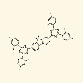 Cc1ccc(-c2nc(-c3ccc4c(c3)C(C)(C)c3cc(-c5nc(-c6ccc(C)cc6C)nc(-c6ccc(C)cc6C)n5)ccc3-4)nc(-c3ccc(C)cc3C)n2)c(C)c1